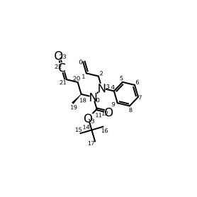 C=CCN(c1ccccc1)N(C(=O)OC(C)(C)C)[C@@H](C)CC=C=O